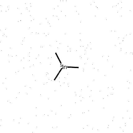 [CH3][5In]([CH3])[CH3]